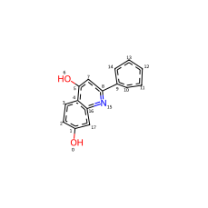 Oc1ccc2c(O)cc(-c3ccccc3)nc2c1